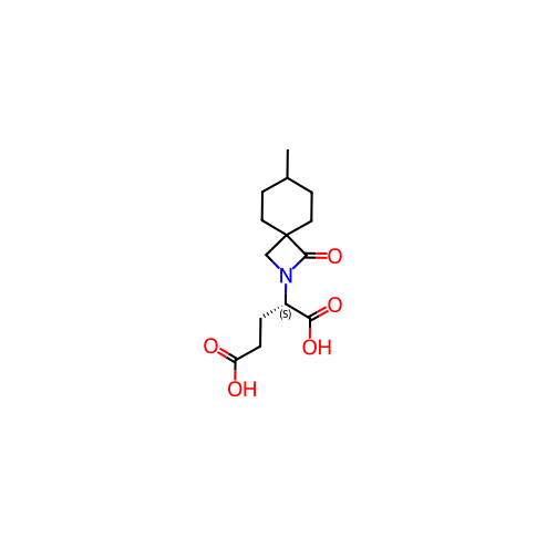 CC1CCC2(CC1)CN([C@@H](CCC(=O)O)C(=O)O)C2=O